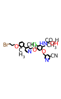 Cc1c(OCCCBr)cccc1-c1ccnc(COc2cc(OCc3cncc(C#N)c3)c(CNC(C)(CO)C(=O)O)cc2Cl)c1C